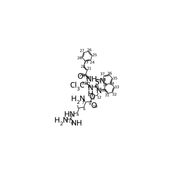 N=C(N)NCCC[C@H](N)C(=O)OCN(C(=S)NC(NC(=O)/C=C/c1ccccc1)C(Cl)(Cl)Cl)c1cccc2cccnc12